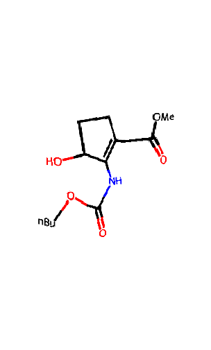 CCCCOC(=O)NC1=C(C(=O)OC)CCC1O